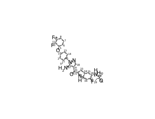 Cc1cc(Oc2cccc(F)c2F)ccc1-n1ncc(C(=O)c2cc3cc(N[SH](C)(C)=O)c(F)cc3[nH]2)c1N